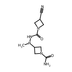 CN(NC(=O)N1CC(C#N)C1)C1CN(C(N)=O)C1